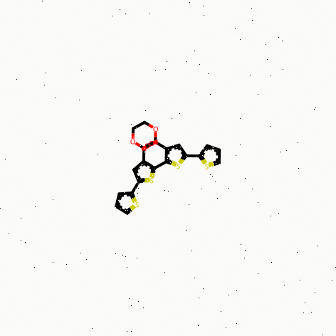 c1csc(-c2cc3c(s2)-c2sc(-c4cccs4)cc2C24OCCOC32OCCO4)c1